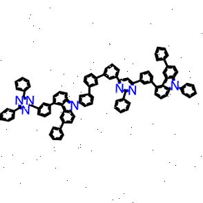 c1ccc(-c2ccc3c(c2)c2c(-c4cccc(-c5cc(-c6cccc(-c7cccc(-c8cccc(-n9c%10ccc(-c%11ccccc%11)cc%10c%10c(-c%11cccc(-c%12nc(-c%13ccccc%13)nc(-c%13ccccc%13)n%12)c%11)cccc%109)c8)c7)c6)nc(-c6ccccc6)n5)c4)cccc2n3-c2ccccc2)cc1